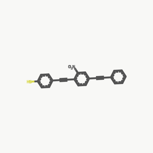 O=[N+]([O-])c1cc(C#Cc2ccccc2)ccc1C#Cc1ccc(S)cc1